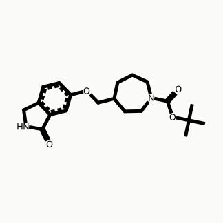 CC(C)(C)OC(=O)N1CCCC(COc2ccc3c(c2)C(=O)NC3)CC1